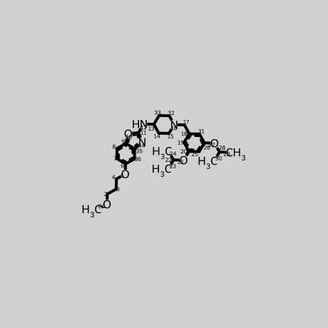 COCCCOc1ccc2oc(NC3CCN(Cc4cc(OC(C)C)cc(OC(C)C)c4)CC3)nc2c1